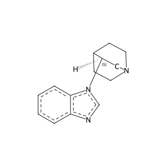 c1ccc2c(c1)ncn2[C@@H]1CN2CCC1CC2